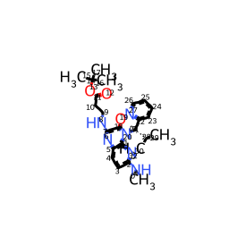 CNc1ccc2nc(NCCC(=O)OC(C)(C)C)c(=O)n([C@H](c3ccccn3)C(C)C)c2n1